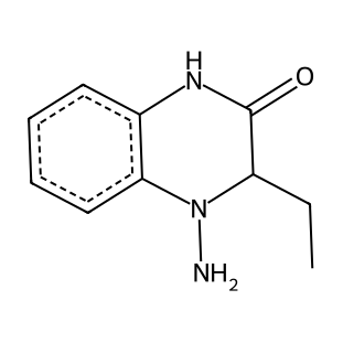 CCC1C(=O)Nc2ccccc2N1N